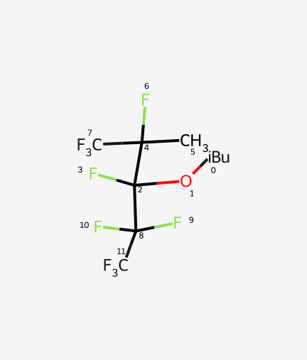 CCC(C)OC(F)(C(C)(F)C(F)(F)F)C(F)(F)C(F)(F)F